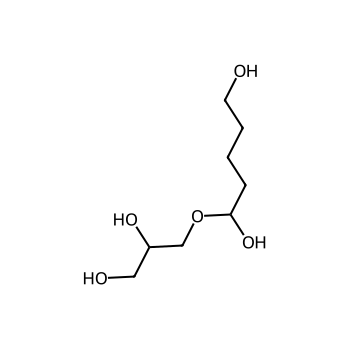 OCCCCC(O)OCC(O)CO